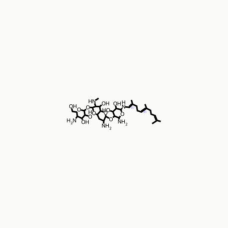 CNC1C(OC2OC(CO)C(N)C(O)C2O)OC2CC(N)C(OC3C(N)OC(N/C=C(\C)CC/C=C(\C)CCC=C(C)C)C(O)C3O)OC2C1O